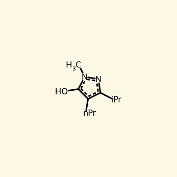 CCCc1c(C(C)C)nn(C)c1O